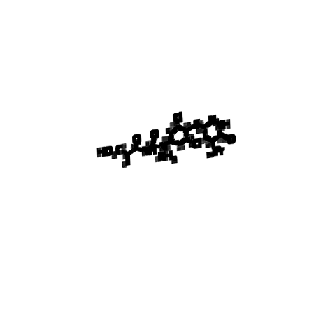 C=C(C(=O)O)C(=O)NC(=O)N(N)c1cc(Cl)c(Sc2cc(C(C)C)c(=O)[nH]n2)c(Cl)c1